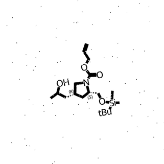 C=CCOC(=O)N1C[C@@H](CC(C)O)C[C@H]1CO[Si](C)(C)C(C)(C)C